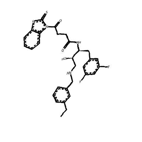 CCc1cccc(CNC[C@@H](O)[C@H](Cc2cc(F)cc(F)c2)NC(=O)CCC(=O)n2c(=S)sc3ccccc32)c1